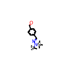 C[Si](C)(C)N(/N=C/c1ccc(C=O)cc1)[Si](C)(C)C